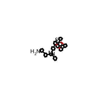 Nc1cccc(-c2cccc(-c3cc(-c4ccccc4)nc(-c4ccc(-c5ccc6c(c5)C5(c7ccccc7S6)c6ccccc6C6(c7ccccc7-c7ccccc76)c6ccccc65)cc4)n3)c2)c1